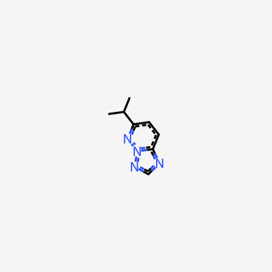 CC(C)c1ccc2ncnn2n1